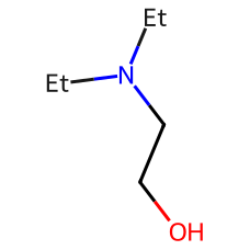 [CH2]CN(C[CH2])CCO